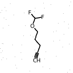 C#CCCCO[C](F)F